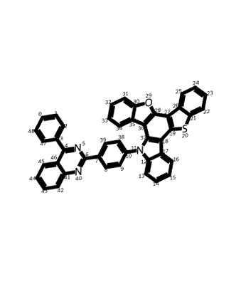 c1ccc(-c2nc(-c3ccc(-n4c5ccccc5c5c6sc7ccccc7c6c6oc7ccccc7c6c54)cc3)nc3ccccc23)cc1